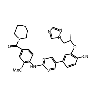 COc1cc(C(=O)N2CCOCC2)ccc1Nc1ncc(-c2ccc(C#N)c(O[C@@H](C)Cn3cncn3)c2)cn1